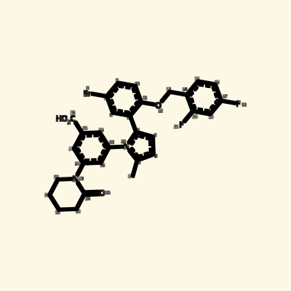 Cc1ccc(-c2cc(Br)ccc2OCc2ccc(F)cc2F)n1-c1cc(C(=O)O)cc(N2CCCCC2=O)c1